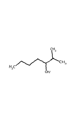 CCCCC(O)[C](C)C